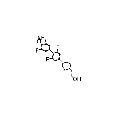 OCC[C@H]1CC[C@H](c2cc(F)c(-c3ccc(OC(F)(F)F)c(F)c3)c(F)c2)CC1